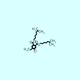 CCc1cc(C(=O)OCCCCCC(C)C)c(C(=O)OCCCCCC(C)C)cc1Cl